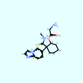 CNC(=S)C1(c2ccc3nccn3c2)CCCCC1OC(=O)CN